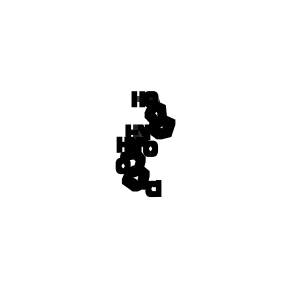 O=C(Nc1cccc2c1C[C@H](O)C2)N[C@H]1COc2ccc(Cl)cc2C1